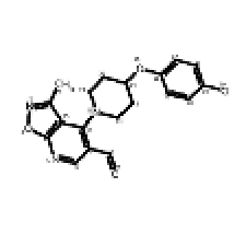 Cc1noc2ncc(C=O)c(N3CCC(Oc4ccc(Cl)cc4)CC3)c12